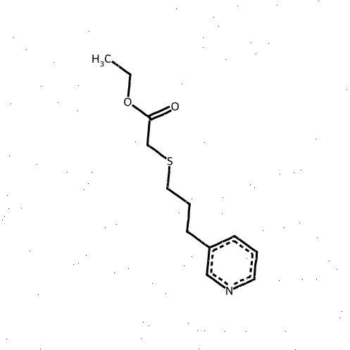 CCOC(=O)CSCCCc1cccnc1